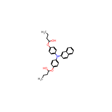 CCCC(O)Oc1ccc(N(c2ccc(OC(O)CCC)cc2)c2ccc3ccccc3c2)cc1